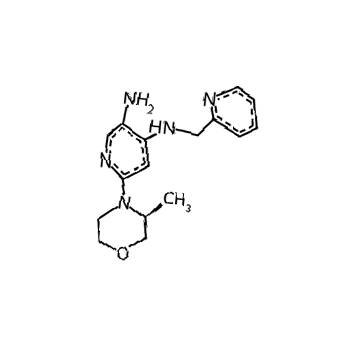 C[C@H]1COCCN1c1cc(NCc2ccccn2)c(N)cn1